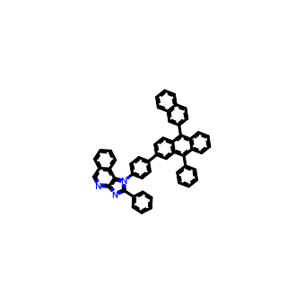 c1ccc(-c2c3ccccc3c(-c3ccc4ccccc4c3)c3ccc(-c4ccc(-n5c(-c6ccccc6)nc6ncc7ccccc7c65)cc4)cc23)cc1